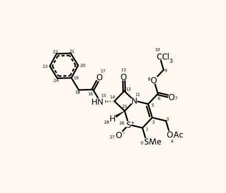 CSC1C(COC(C)=O)=C(C(=O)OCC(Cl)(Cl)Cl)N2C(=O)[C@@H](NC(=O)Cc3ccccc3)[C@H]2[S+]1[O-]